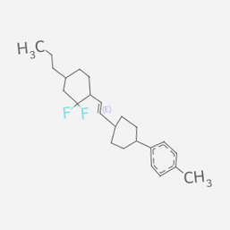 CCCC1CCC(/C=C/C2CCC(c3ccc(C)cc3)CC2)C(F)(F)C1